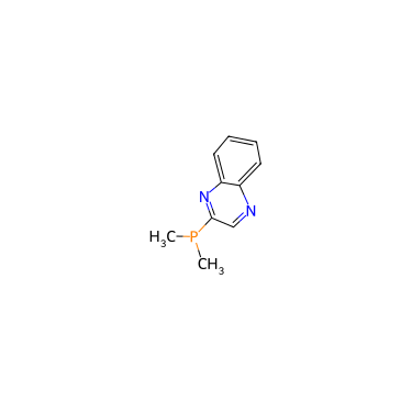 CP(C)c1cnc2ccccc2n1